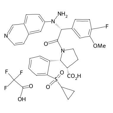 COc1cc([C@H](C(=O)N2CC[C@H](C(=O)O)[C@@H]2c2ccccc2S(=O)(=O)C2CC2)N(N)c2ccc3cnccc3c2)ccc1F.O=C(O)C(F)(F)F